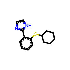 c1ccc(-c2ncc[nH]2)c(SC2CCCCC2)c1